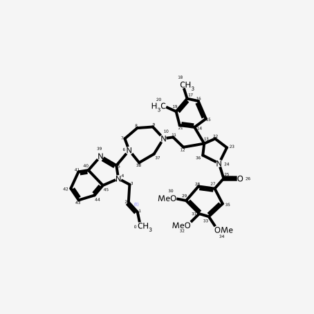 C/C=C/Cn1c(N2CCCN(CCC3(c4ccc(C)c(C)c4)CCN(C(=O)c4cc(OC)c(OC)c(OC)c4)C3)CC2)nc2ccccc21